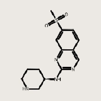 CS(=O)(=O)c1ccc2cnc(N[C@@H]3CCCNC3)nc2c1